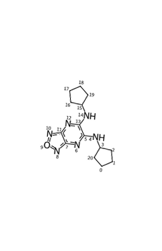 C1CCC(Nc2nc3nonc3nc2NC2CCCC2)C1